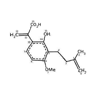 C=C(C)CCc1c(OC)ccc(C(=C)C(=O)O)c1O